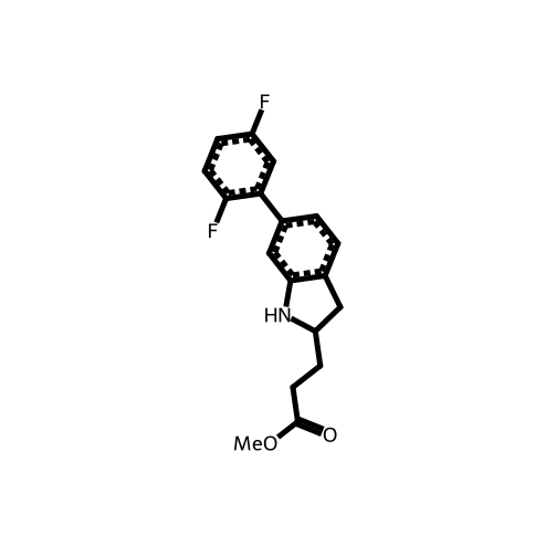 COC(=O)CCC1Cc2ccc(-c3cc(F)ccc3F)cc2N1